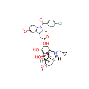 CO[C@@]12CC[C@@]3(C[C@@H]1[C@](C)(O)C(C)(C)C)[C@H]1Cc4ccc(O)c5c4[C@@]3(CCN1CC1CC1)[C@H]2O5.COc1ccc2c(c1)c(CC(=O)O)c(C)n2C(=O)c1ccc(Cl)cc1